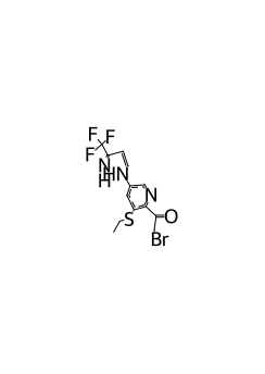 CCSc1cc(N/C=C\C(=N)C(F)(F)F)cnc1C(=O)CBr